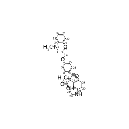 CN1C[C@@H](COc2ccc(C(=O)C(C)(C(=O)O)c3cccc4c3CCN4)cc2)Oc2ccccc21